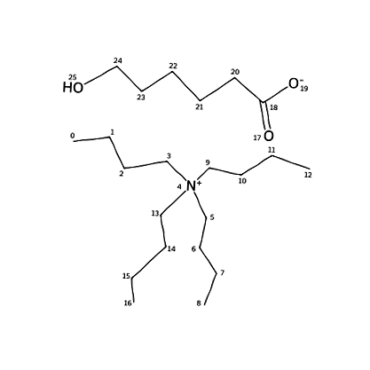 CCCC[N+](CCCC)(CCCC)CCCC.O=C([O-])CCCCCO